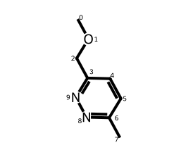 COCc1ccc(C)nn1